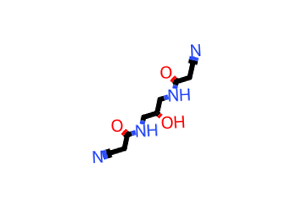 N#CCC(=O)NCC(O)CNC(=O)CC#N